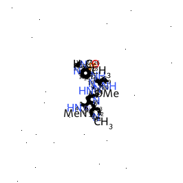 CN/C=C(\C=N)c1cc(Nc2nc(Nc3ccc4nccnc4c3P(C)(C)=O)c3cc[nH]c3n2)c(OC)nc1C1CCN(C)CC1